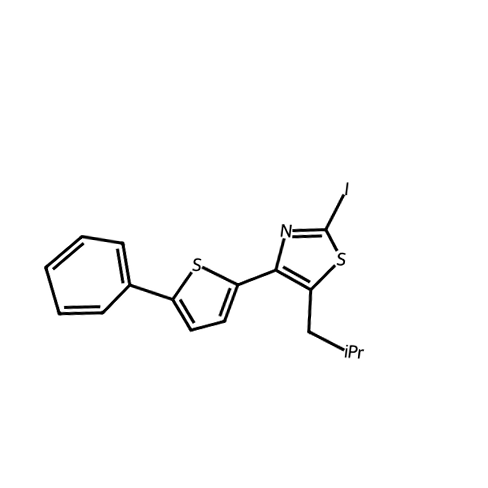 CC(C)Cc1sc(I)nc1-c1ccc(-c2ccccc2)s1